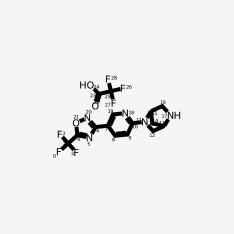 FC(F)(F)c1nc(-c2ccc(N3CC4CC3CN4)nc2)no1.O=C(O)C(F)(F)F